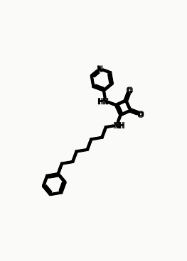 O=c1c(NCCCCCCCc2ccccc2)c(Nc2ccncc2)c1=O